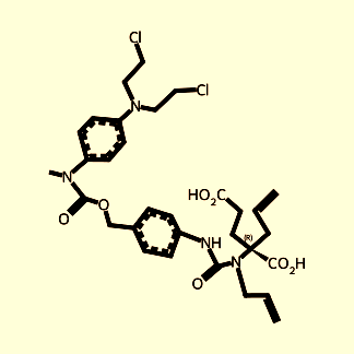 C=CCN(C(=O)Nc1ccc(COC(=O)N(C)c2ccc(N(CCCl)CCCl)cc2)cc1)[C@@](CC=C)(CCC(=O)O)C(=O)O